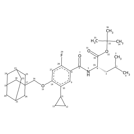 CC(C)C[C@H](NC(=O)c1cc(C2CC2)c(OCC23CC4CC(CC(C4)C2)C3)cc1F)C(=O)OC(C)(C)C